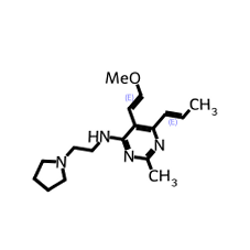 C/C=C/c1nc(C)nc(NCCN2CCCC2)c1/C=C/OC